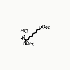 CCCCCCCCCCCCCCCCCC(CCCCCCCCCC)N(C)C.Cl